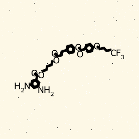 Nc1cc(N)cc(C(=O)OCCCCCOC(=O)/C=C/c2ccc(OC(=O)c3ccc(OCCCCC(F)(F)F)cc3)cc2)c1